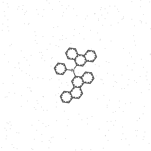 c1ccc(N(c2cc3ccccc3c3ccccc23)c2cc3c4ccccc4ccc3c3ccccc23)cc1